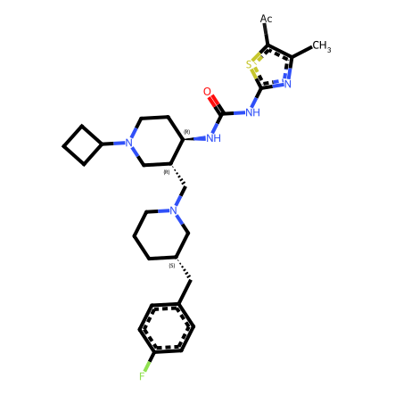 CC(=O)c1sc(NC(=O)N[C@@H]2CCN(C3CCC3)C[C@H]2CN2CCC[C@@H](Cc3ccc(F)cc3)C2)nc1C